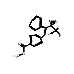 COC(=O)c1ccc(C=C(c2ccccc2)C2(C(F)(F)F)N=N2)cc1